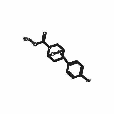 CC(C)(C)OC(=O)N1CC2CCC1CN2c1ccc(Br)cc1